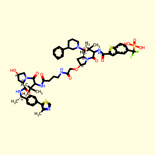 Cc1ncsc1-c1ccc([C@H](C)NC(=O)[C@@H]2C[C@@H](O)CN2C(=O)C(NC(=O)CCCNC(=O)CO[C@H]2C[C@@H](C(=O)N3CCCC(c4ccccc4)C3)N(C(=O)C(NC(=O)c3cc4cc(C(F)(F)P(=O)(O)O)ccc4s3)C(C)(C)C)C2)C(C)(C)C)cc1